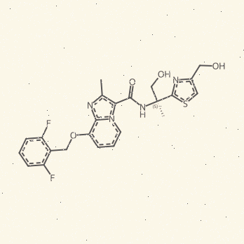 Cc1nc2c(OCc3c(F)cccc3F)cccn2c1C(=O)N[C@@](C)(CO)c1nc(CO)cs1